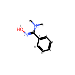 CN(C)C(=NO)c1ccccc1